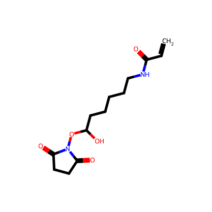 C=CC(=O)NCCCCCC(O)ON1C(=O)CCC1=O